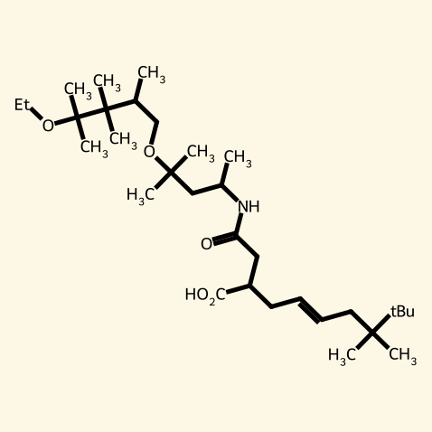 CCOC(C)(C)C(C)(C)C(C)COC(C)(C)CC(C)NC(=O)CC(C/C=C/CC(C)(C)C(C)(C)C)C(=O)O